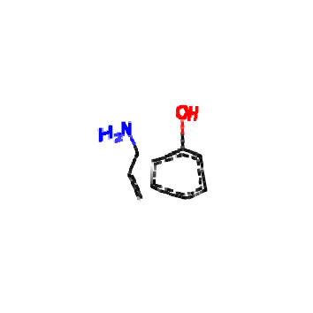 C=CCN.Oc1ccccc1